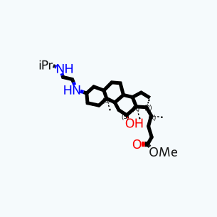 COC(=O)CC[C@@H](C)[C@H]1CCC2C3CCC4CC(NCCNC(C)C)CC[C@]4(C)C3C[C@H](O)[C@@]21C